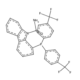 NC(=O)n1c2ccccc2c2cccc(P(c3ccc(C(F)(F)F)cc3)c3ccc(C(F)(F)F)cc3)c21